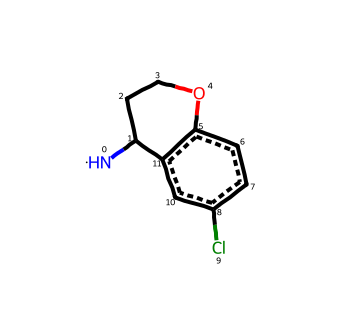 [NH]C1CCOc2ccc(Cl)cc21